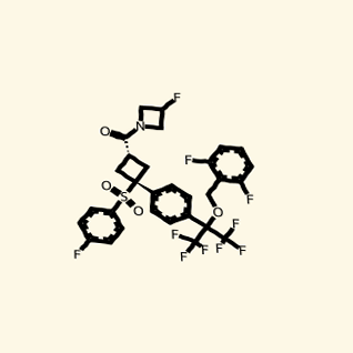 O=C([C@H]1C[C@@](c2ccc(C(OCc3c(F)cccc3F)(C(F)(F)F)C(F)(F)F)cc2)(S(=O)(=O)c2ccc(F)cc2)C1)N1CC(F)C1